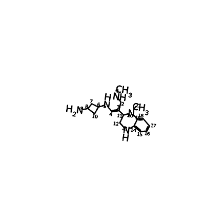 CNC/C(=C\NC1CC(N)C1)C1CNc2ccccc2N1C